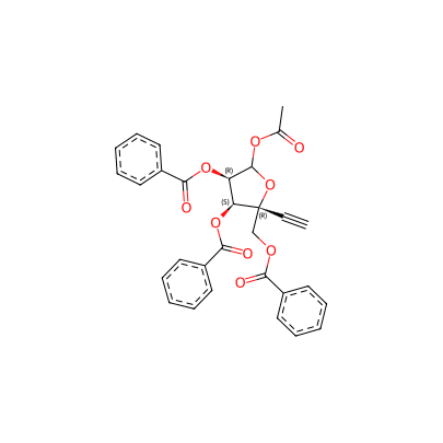 C#C[C@]1(COC(=O)c2ccccc2)OC(OC(C)=O)[C@H](OC(=O)c2ccccc2)[C@@H]1OC(=O)c1ccccc1